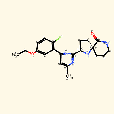 CCOc1ccc(F)c(-c2cc(C)nc([C@H]3CC[C@]4(CCCNC4=O)N3)n2)c1